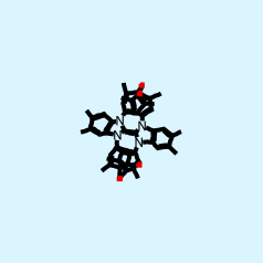 Cc1cc2c(cc1C)N(c1cc(C)c(C)c(C)c1)C(=C1N(c3cc(C)c(C)c(C)c3)c3cc(C)c(C)cc3N1c1cc(C)c(C)c(C)c1)N2c1cc(C)c(C)c(C)c1